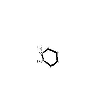 C1CC[SiH2]OC1.S